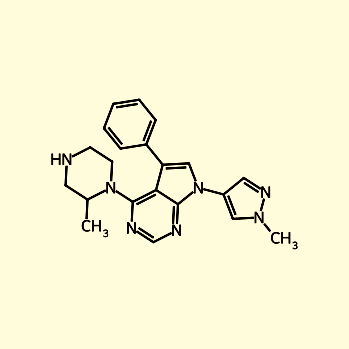 CC1CNCCN1c1ncnc2c1c(-c1ccccc1)cn2-c1cnn(C)c1